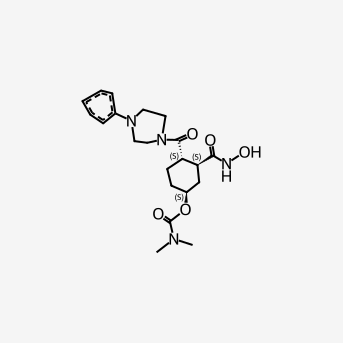 CN(C)C(=O)O[C@H]1CC[C@H](C(=O)N2CCN(c3ccccc3)CC2)[C@@H](C(=O)NO)C1